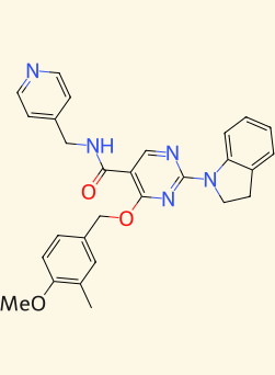 COc1ccc(COc2nc(N3CCc4ccccc43)ncc2C(=O)NCc2ccncc2)cc1C